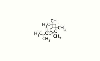 CC(C)OCC(C)(C)OC1(C)CC(C)(C)C1